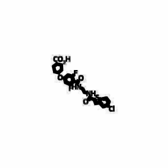 O=C(NCCNC(=O)c1c(F)cc(O[C@H]2CC[C@@H](C(=O)O)CC2)cc1F)c1cc2cc(Cl)ccc2s1